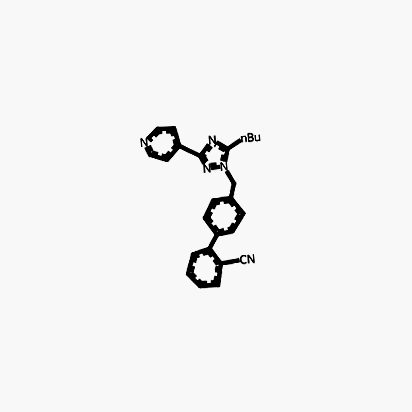 CCCCc1nc(-c2ccncc2)nn1Cc1ccc(-c2ccccc2C#N)cc1